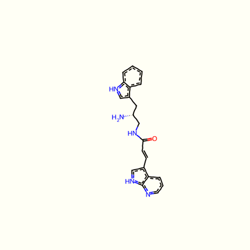 N[C@@H](CNC(=O)C=Cc1c[nH]c2ncccc12)Cc1c[nH]c2ccccc12